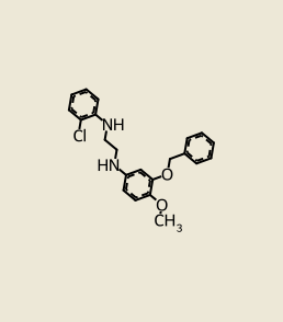 COc1ccc(NCCNc2ccccc2Cl)cc1OCc1ccccc1